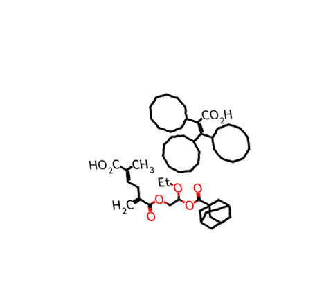 C=C(CC=C(C)C(=O)O)C(=O)OCC(OCC)OC(=O)C12CC3CC(CC(C3)C1)C2.O=C(O)C(=C(C1CCCCCCCCC1)C1CCCCCCCCC1)C1CCCCCCCCC1